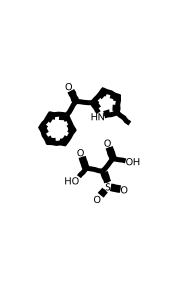 Cc1ccc(C(=O)c2ccccc2)[nH]1.O=C(O)C(C(=O)O)=S(=O)=O